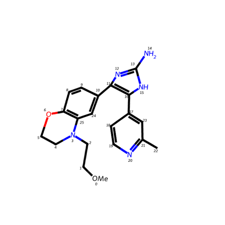 COCCN1CCOc2ccc(-c3nc(N)[nH]c3-c3ccnc(C)c3)cc21